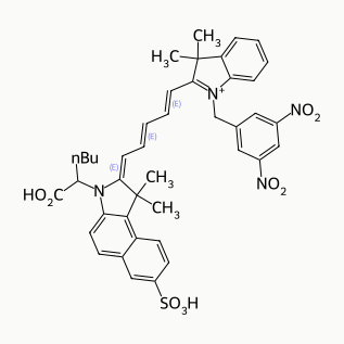 CCCCC(C(=O)O)N1/C(=C/C=C/C=C/C2=[N+](Cc3cc([N+](=O)[O-])cc([N+](=O)[O-])c3)c3ccccc3C2(C)C)C(C)(C)c2c1ccc1cc(S(=O)(=O)O)ccc21